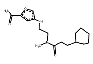 CN(CCNc1cc(C(N)=O)on1)C(=O)[CH]CC1CCCCC1